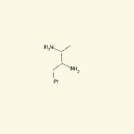 CC(C)CC(N)C(C)N